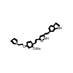 COc1cc(OCCn2cccc2)ccc1/C=C/c1cc(/C=C/c2ccc3cc[nH]c3c2)[nH]n1